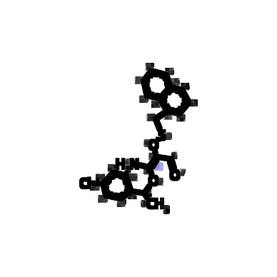 CC(O/C(N)=C(\C=O)OSCc1cccc2ccccc12)c1ccc(Cl)cc1